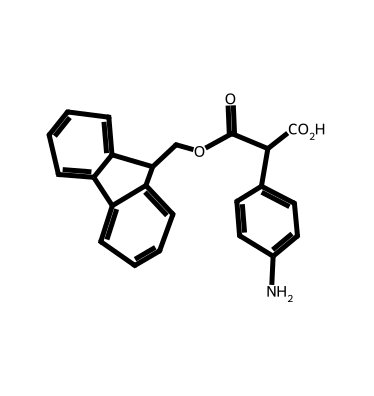 Nc1ccc(C(C(=O)O)C(=O)OCC2c3ccccc3-c3ccccc32)cc1